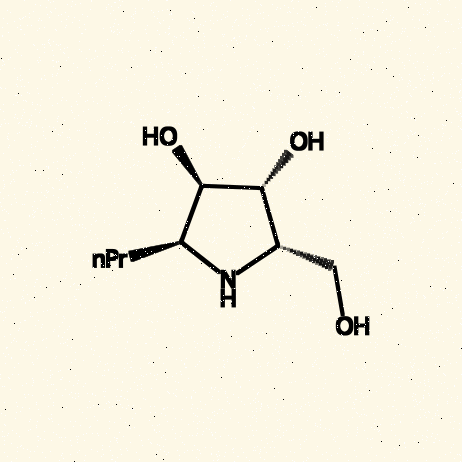 CCC[C@@H]1N[C@@H](CO)[C@@H](O)[C@@H]1O